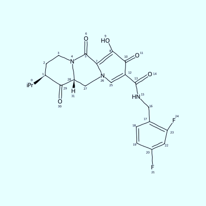 CC(C)[C@H]1CCN2C(=O)c3c(O)c(=O)c(C(=O)NCc4ccc(F)cc4F)cn3C[C@@H]2C1=O